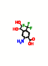 Nc1cc(C(O)CO)c(C(F)(F)F)cc1C(=O)O